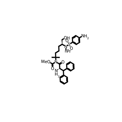 CCCN([C@H](CO)CCCC(C)(C)N(C(=O)OC)C(=O)[C@@H](N)C(c1ccccc1)c1ccccc1)S(=O)(=O)c1ccc(N)cc1